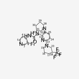 O=C(Nc1ccncc1F)N1c2nc(N3CCCC(C(F)(F)F)C3)ccc2N2CCC[C@H]1C2